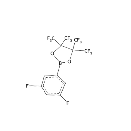 Fc1cc(F)cc(B2OC(C(F)(F)F)(C(F)(F)F)C(C(F)(F)F)(C(F)(F)F)O2)c1